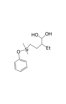 CCC(CC[Si](C)(C)Oc1ccccc1)C(O)O